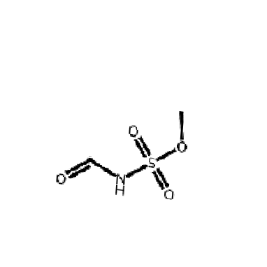 COS(=O)(=O)N[C]=O